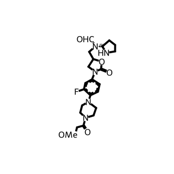 COCC(=O)N1CCN(c2ccc(N3CC(CN(C=O)[C@@H]4CCCN4)OC3=O)cc2F)CC1